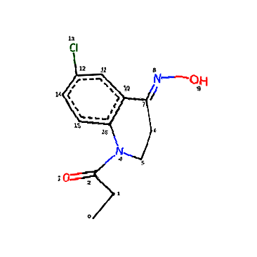 CCC(=O)N1CCC(=NO)c2cc(Cl)ccc21